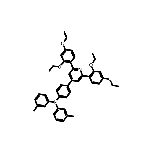 CCOc1ccc(-c2cc(-c3ccc(N(c4cccc(C)c4)c4cccc(C)c4)cc3)cc(-c3ccc(OCC)cc3OCC)n2)c(OCC)c1